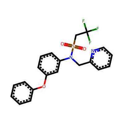 O=S(=O)(CC(F)(F)F)N(Cc1ccccn1)c1cccc(Oc2ccccc2)c1